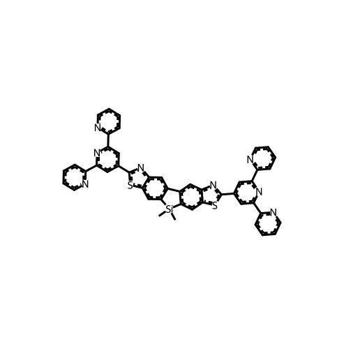 C[Si]1(C)c2cc3sc(-c4cc(-c5ccccn5)nc(-c5ccccn5)c4)nc3cc2-c2cc3nc(-c4cc(-c5ccccn5)nc(-c5ccccn5)c4)sc3cc21